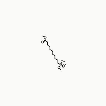 COC(=O)CCCCCCCCCC[Si](OC)(OC)OC